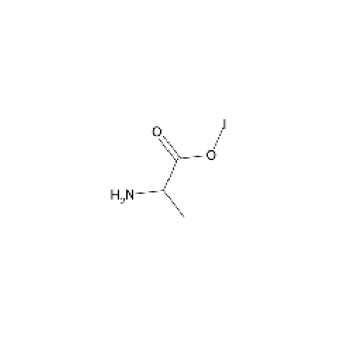 CC(N)C(=O)OI